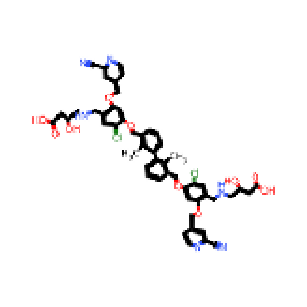 Cc1c(COc2cc(OCc3ccnc(C#N)c3)c(CNCC(O)CC(=O)O)cc2Cl)cccc1-c1cccc(COc2cc(OCc3ccnc(C#N)c3)c(CNCC(O)CC(=O)O)cc2Cl)c1C